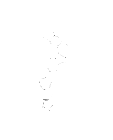 Cc1cc(C)c(-c2cnc(NC(=O)c3cccc(Cc4cn[nH]c4)c3)n2C)cc1C